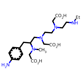 CCNCCN(CCN(CC(=O)O)CC(Cc1ccc(N)cc1)N(C)CC(=O)O)CC(=O)O